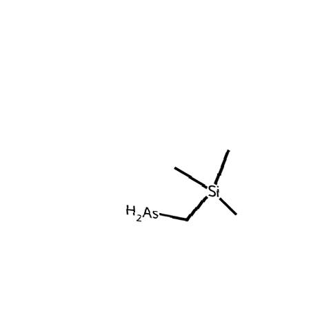 C[Si](C)(C)C[AsH2]